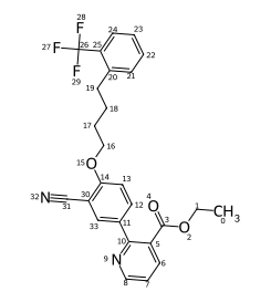 CCOC(=O)c1cccnc1-c1ccc(OCCCCc2ccccc2C(F)(F)F)c(C#N)c1